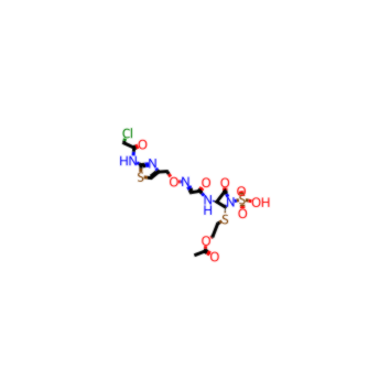 CC(=O)OCCS[C@@H]1[C@H](NC(=O)C=NOCc2csc(NC(=O)CCl)n2)C(=O)N1S(=O)(=O)O